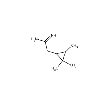 CC1C(CC(=N)N)C1(C)C